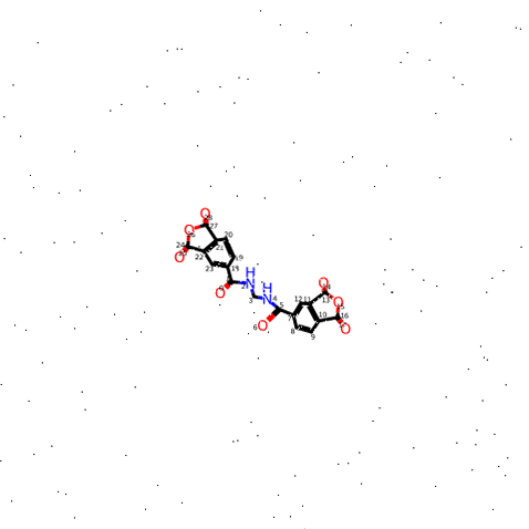 O=C(NCNC(=O)c1ccc2c(c1)C(=O)OC2=O)c1ccc2c(c1)C(=O)OC2=O